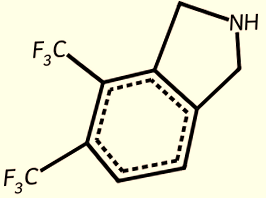 FC(F)(F)c1ccc2c(c1C(F)(F)F)CNC2